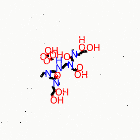 CCN(CCNCCN(CC(=O)O)CC(=O)N(C)CC(O)CO)CC(=O)N(C)CC(O)CO.O=CO.O=CO